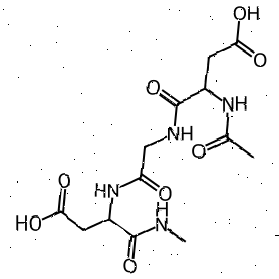 CNC(=O)C(CC(=O)O)NC(=O)CNC(=O)C(CC(=O)O)NC(C)=O